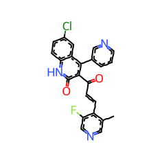 Cc1cncc(F)c1/C=C/C(=O)c1c(-c2cccnc2)c2cc(Cl)ccc2[nH]c1=O